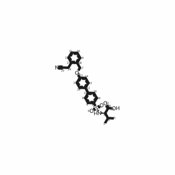 CC(C)[C@@H](NS(=O)(=O)c1ccc(-c2ccc(OCc3ccccc3CC#N)cc2)cc1)C(=O)O